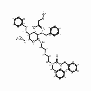 CC(=O)CCC(=O)O[C@@H]1[C@@H](OCc2ccccc2)[C@@H](OCCCCCN(Cc2ccccc2)C(=O)OCc2ccccc2)O[C@H](COC(C)=O)[C@H]1OCc1ccccc1